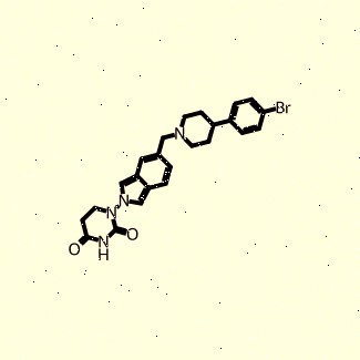 O=C1CCN(n2cc3ccc(CN4CCC(c5ccc(Br)cc5)CC4)cc3c2)C(=O)N1